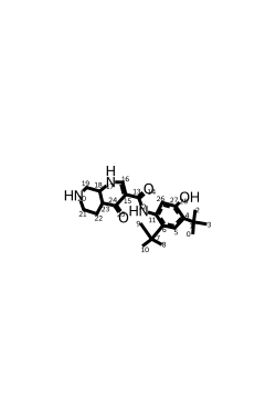 CC(C)(C)c1cc(C(C)(C)C)c(NC(=O)C2=CNC3CNCCC3C2=O)cc1O